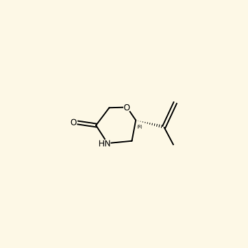 C=C(C)[C@@H]1CNC(=O)CO1